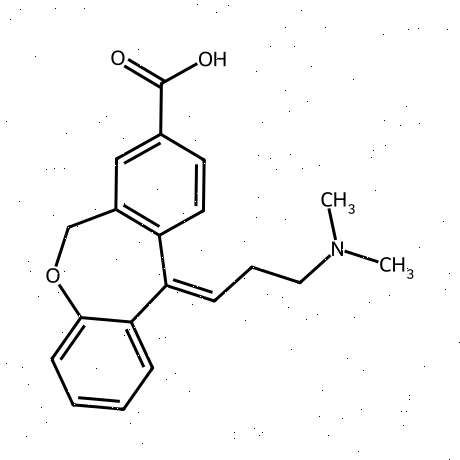 CN(C)CC/C=C1\c2ccc(C(=O)O)cc2COc2ccccc21